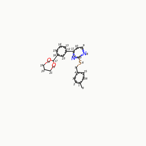 Cc1ccc(CSc2nccc(-c3cccc(C4OCCCO4)c3)n2)cc1